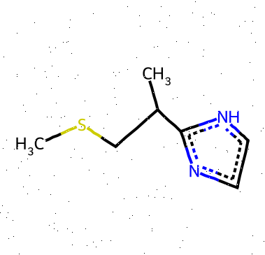 CSCC(C)c1ncc[nH]1